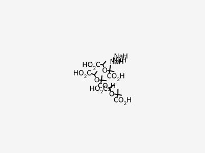 CC(OC(C)(C)C(=O)O)C(=O)O.CC(OC(C)(C)C(=O)O)C(=O)O.CC(OC(C)(C)C(=O)O)C(=O)O.[NaH].[NaH].[NaH]